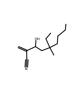 C=C(C#N)C(O)CC(C)(CC)CCCC